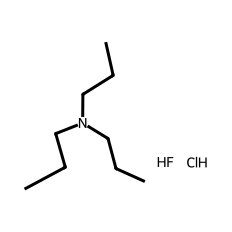 CCCN(CCC)CCC.Cl.F